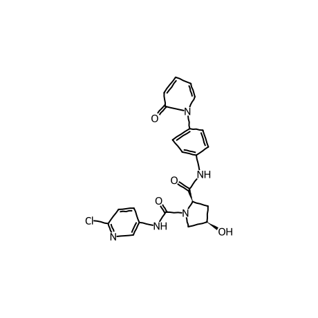 O=C(Nc1ccc(-n2ccccc2=O)cc1)[C@H]1C[C@@H](O)CN1C(=O)Nc1ccc(Cl)nc1